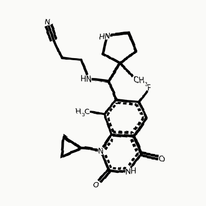 Cc1c(C(NCCC#N)C2(C)CCNC2)c(F)cc2c(=O)[nH]c(=O)n(C3CC3)c12